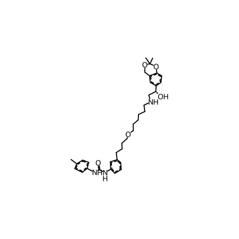 Cc1ccc(NC(=O)Nc2cccc(CCCCOCCCCCCNC[C@H](O)c3ccc4c(c3)COC(C)(C)O4)c2)cc1